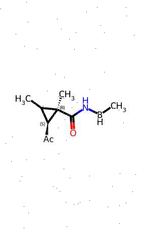 CBNC(=O)[C@]1(C)C(C)[C@@H]1C(C)=O